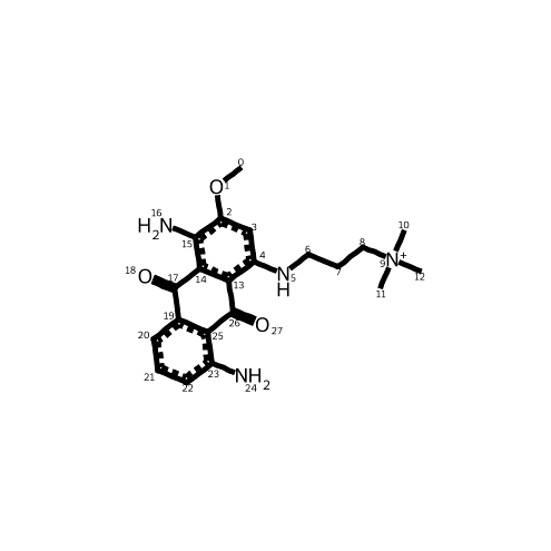 COc1cc(NCCC[N+](C)(C)C)c2c(c1N)C(=O)c1cccc(N)c1C2=O